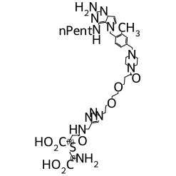 CCCCCNc1nc(N)nc2ccn(Cc3ccc(CN4CCN(C(=O)CCOCCOCCn5cc(CNC(=O)C[C@@H](SC[C@H](N)C(=O)O)C(=O)O)nn5)CC4)cc3C)c12